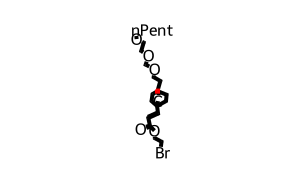 CCCCCOCCOCOCCC12CCC(C=CC(=O)OCCBr)(CC1)CC2